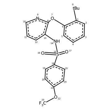 CC(C)(C)c1ccccc1Oc1ncccc1NS(=O)(=O)c1ccc(OC(F)(F)F)cc1